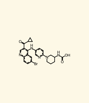 O=C(O)NC1CCCN(c2ccc(Nc3c(C(=O)C4CC4)cnc4ccc(Br)cc34)cn2)C1